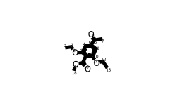 CCOc1cc(C(C)=O)cc(OCC)c1C(=O)OC